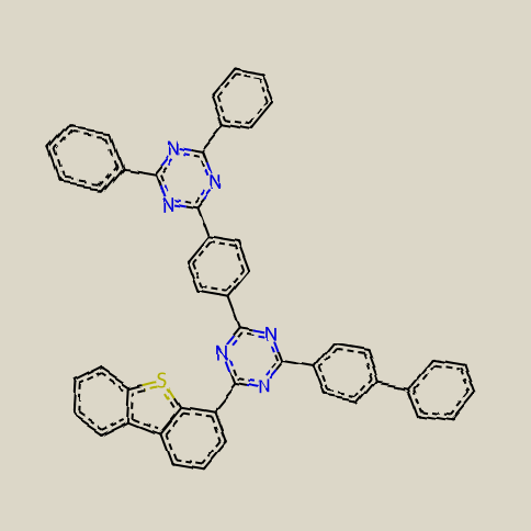 c1ccc(-c2ccc(-c3nc(-c4ccc(-c5nc(-c6ccccc6)nc(-c6ccccc6)n5)cc4)nc(-c4cccc5c4sc4ccccc45)n3)cc2)cc1